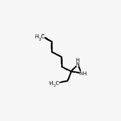 CCCCCC1(CC)NN1